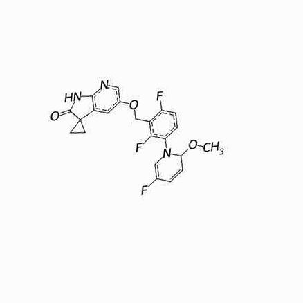 COC1C=CC(F)=CN1c1ccc(F)c(COc2cnc3c(c2)C2(CC2)C(=O)N3)c1F